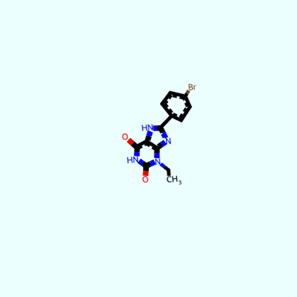 CCn1c(=O)[nH]c(=O)c2[nH]c(-c3ccc(Br)cc3)nc21